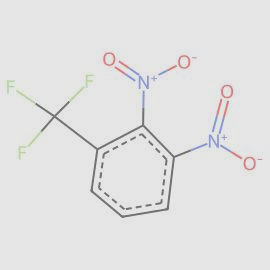 O=[N+]([O-])c1cccc(C(F)(F)F)c1[N+](=O)[O-]